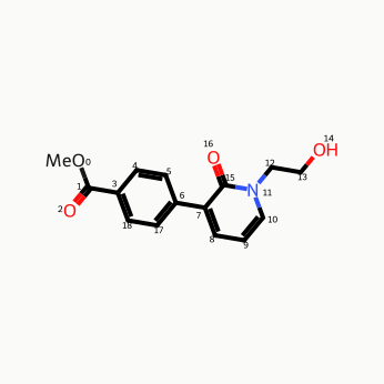 COC(=O)c1ccc(-c2cccn(CCO)c2=O)cc1